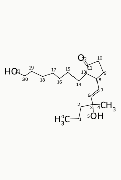 CCCC(C)(O)C=CC1CCC(=O)C1CCCCCCCO